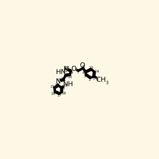 Cc1ccc(C(=O)COc2cc(-c3nc4ccccc4[nH]3)[nH]n2)cc1